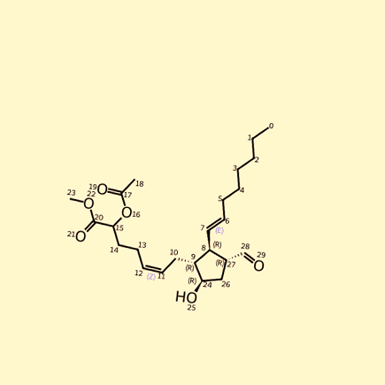 CCCCCC/C=C/[C@@H]1[C@@H](C/C=C\CCC(OC(C)=O)C(=O)OC)[C@H](O)C[C@H]1C=O